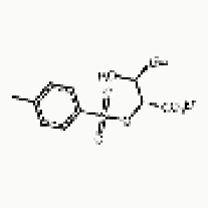 CCOC(=O)[C@H](OS(=O)(=O)c1ccc(C)cc1)[C@@H](O)C(C)(C)C